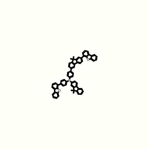 CC1(C)c2ccc(-c3ccc(N(c4ccc(-c5cccc6c5oc5ccccc56)cc4)c4ccc5c(c4)C(C)(C)c4ccccc4-5)cc3)cc2-c2ccc(-c3cccc4c3oc3ccccc34)cc21